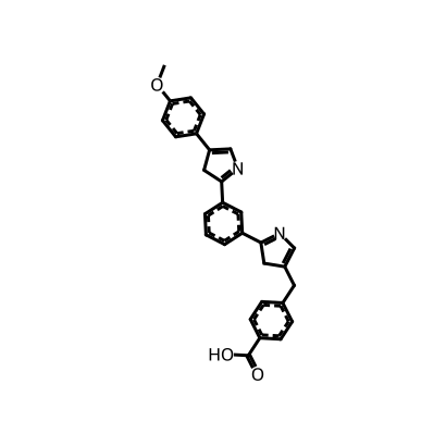 COc1ccc(C2=CN=C(c3cccc(C4=NC=C(Cc5ccc(C(=O)O)cc5)C4)c3)C2)cc1